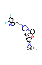 CCN(CC)c1cccc(Oc2cccc(N3CCCN(CCCc4c[nH]c5c(F)cc(F)cc45)CC3)c2C)c1